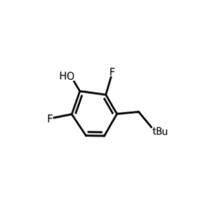 CC(C)(C)Cc1ccc(F)c(O)c1F